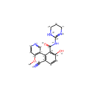 COc1ccncc1-c1c(C#N)ccc(O)c1C(=O)NC1=NCCCN1